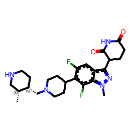 C[C@@H]1CNCC[C@@H]1CN1CCC(c2c(F)cc3c(C4CCC(=O)NC4=O)nn(C)c3c2F)CC1